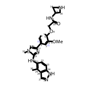 C/C=C(\C=C(\OC)C(C)OCC(=O)NC1CNC1)c1nc(Nc2ccc3[nH]ncc3c2C)n(C)n1